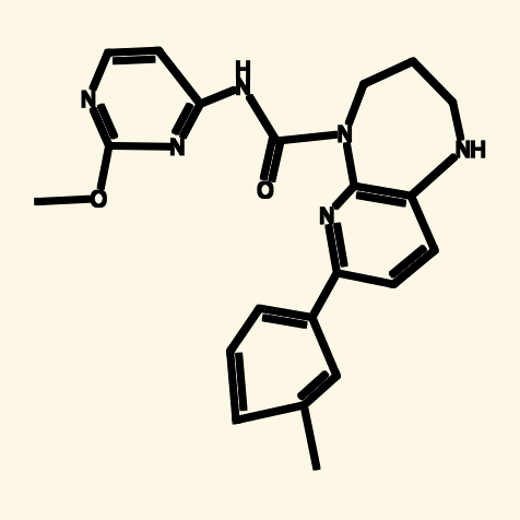 COc1nccc(NC(=O)N2CCCNc3ccc(-c4cccc(C)c4)nc32)n1